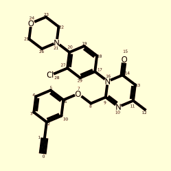 C#Cc1cccc(OCc2nc(C)cc(=O)n2-c2ccc(N3CCOCC3)c(Cl)c2)c1